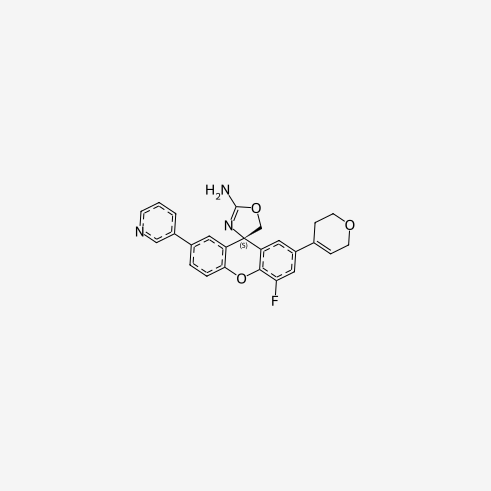 NC1=N[C@@]2(CO1)c1cc(-c3cccnc3)ccc1Oc1c(F)cc(C3=CCOCC3)cc12